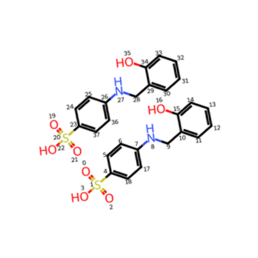 O=S(=O)(O)c1ccc(NCc2ccccc2O)cc1.O=S(=O)(O)c1ccc(NCc2ccccc2O)cc1